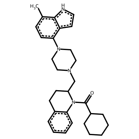 Cc1ccc(N2CCN(CC3CCc4ccccc4N3C(=O)C3CCCCC3)CC2)c2cc[nH]c12